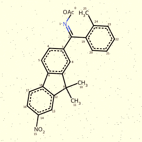 CC(=O)O/N=C(/c1ccc2c(c1)C(C)(C)c1cc([N+](=O)[O-])ccc1-2)c1ccccc1C